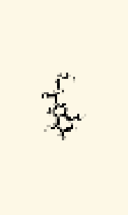 CCOC(=O)c1nc2c(F)c(F)cc(Br)c2s1